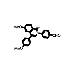 COc1ccc(-c2cn(-c3ccc(C=O)cc3)c(=O)c3ccc(OC)cc23)cc1